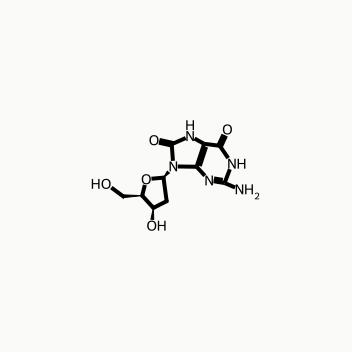 Nc1nc2c([nH]c(=O)n2[C@H]2C[C@@H](O)[C@@H](CO)O2)c(=O)[nH]1